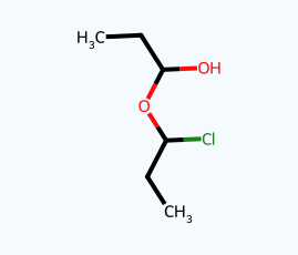 CCC(O)OC(Cl)CC